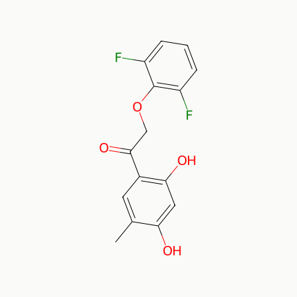 Cc1cc(C(=O)COc2c(F)cccc2F)c(O)cc1O